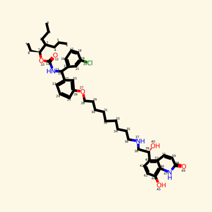 CCCC(CCC)[C@H](CC)OC(=O)NC(c1cccc(Cl)c1)c1cccc(OCCCCCCCCCNC[C@H](O)c2ccc(O)c3[nH]c(=O)ccc23)c1